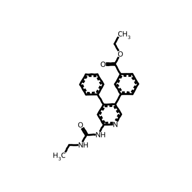 CCNC(=O)Nc1cc(-c2ccccc2)c(-c2cccc(C(=O)OCC)c2)cn1